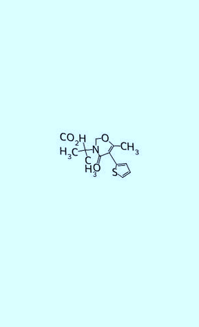 CC1=C(c2cccs2)C(=O)N(C(C)(C)C(=O)O)CO1